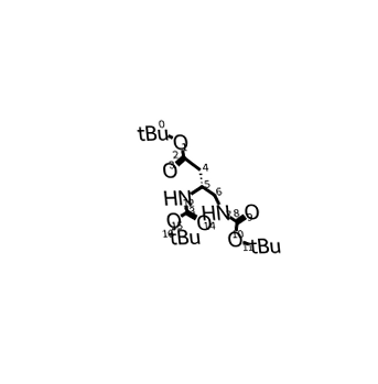 CC(C)(C)OC(=O)C[C@H](CNC(=O)OC(C)(C)C)NC(=O)OC(C)(C)C